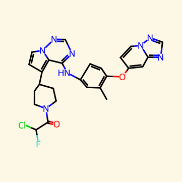 Cc1cc(Nc2ncnn3ccc(C4CCN(C(=O)C(F)Cl)CC4)c23)ccc1Oc1ccn2ncnc2c1